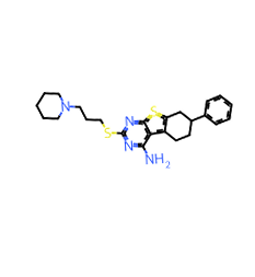 Nc1nc(SCCCN2CCCCC2)nc2sc3c(c12)CCC(c1ccccc1)C3